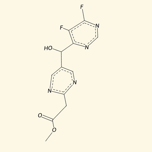 COC(=O)Cc1ncc(C(O)c2ncnc(F)c2F)cn1